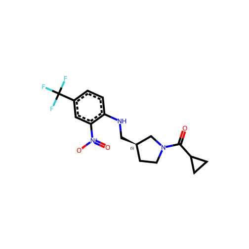 O=C(C1CC1)N1CC[C@@H](CNc2ccc(C(F)(F)F)cc2[N+](=O)[O-])C1